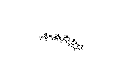 C/C(=C\CS(=O)(=O)c1ccc2ccccc2c1)CC/C=C(\C)CCC1OC1(C)C